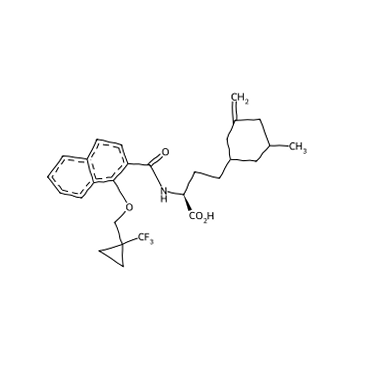 C=C1CC(C)CC(CC[C@H](NC(=O)c2ccc3ccccc3c2OCC2(C(F)(F)F)CC2)C(=O)O)C1